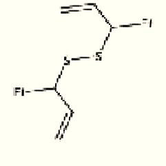 C=CC(CC)SSC(C=C)CC